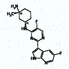 C[C@@]1(N)CCC[C@@H](Nc2nc(-c3c[nH]c4ncc(F)cc34)ncc2F)C1